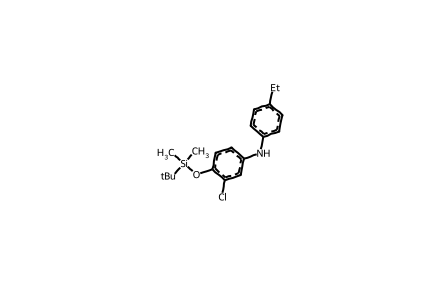 CCc1ccc(Nc2ccc(O[Si](C)(C)C(C)(C)C)c(Cl)c2)cc1